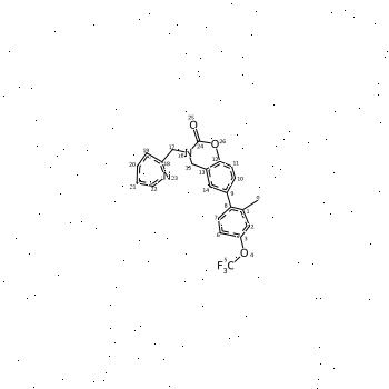 Cc1cc(OC(F)(F)F)ccc1-c1ccc2c(c1)CN(Cc1ccccn1)C(=O)O2